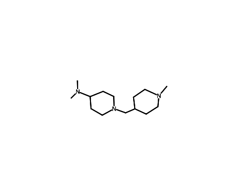 CN1CCC(CN2CCC(N(C)C)CC2)CC1